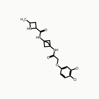 CC1CC(C(=O)NC23CC(NC(=O)COc4ccc(Cl)c(Cl)c4)(C2)C3)N1